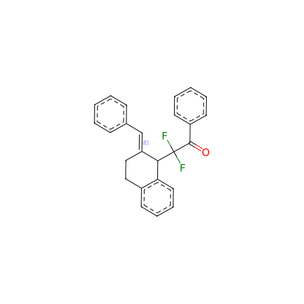 O=C(c1ccccc1)C(F)(F)C1/C(=C/c2ccccc2)CCc2ccccc21